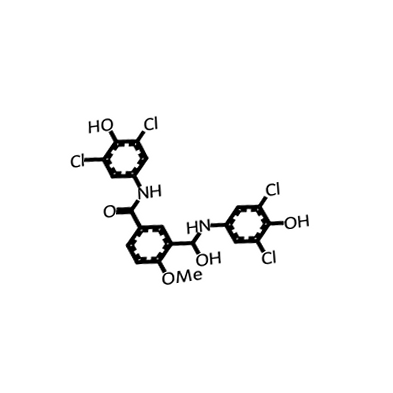 COc1ccc(C(=O)Nc2cc(Cl)c(O)c(Cl)c2)cc1C(O)Nc1cc(Cl)c(O)c(Cl)c1